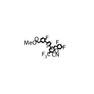 COC(=O)Cc1ccc(F)c(-c2ccc(-c3cc(C(F)(F)F)c(C#N)c(=O)n3Cc3ccc(F)cc3F)s2)c1